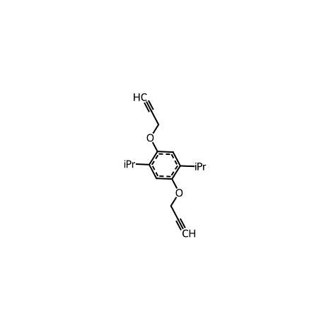 C#CCOc1cc(C(C)C)c(OCC#C)cc1C(C)C